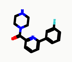 O=C(c1cccc(-c2cccc(F)c2)n1)N1CCNCC1